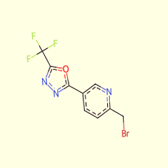 FC(F)(F)c1nnc(-c2ccc(CBr)nc2)o1